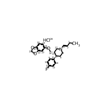 CCC=CN1CC[C@@H](c2ccc(F)cc2)[C@H](COc2ccc3c(c2)OCO3)C1.Cl